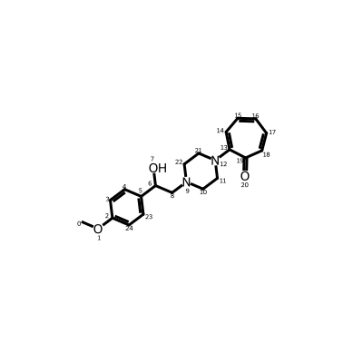 COc1ccc(C(O)CN2CCN(c3cccccc3=O)CC2)cc1